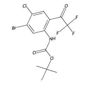 CC(C)(C)OC(=O)Nc1cc(Br)c(Cl)cc1C(=O)C(F)(F)F